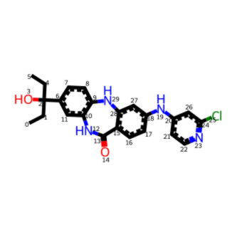 CCC(O)(CC)c1ccc2c(c1)NC(=O)c1ccc(Nc3ccnc(Cl)c3)cc1N2